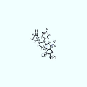 C=c1ccc(C2=C(c3cccc(C)n3)NC=CC2)c/c1=C/C(=C\C)c1nc(CC)c(CCC)s1